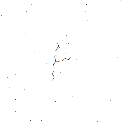 ClCCSCC(CSCCCl)SCCCl